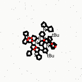 CC(C)(C)c1cc(-c2ccccc2)cc(N2c3cc(-n4c5ccccc5c5ccccc54)ccc3B3c4ccc(-n5c6ccccc6c6ccccc65)cc4N(c4ccc(-c5ccccc5)cc4-c4ccccc4)c4cc(-c5c(-c6cccc7sc8ccccc8c67)cc(C(C)(C)C)cc5-n5c6ccccc6c6ccccc65)cc2c43)c1